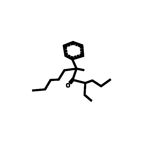 CCCCCC(C)(C(=O)C(CC)CCC)c1ccccc1